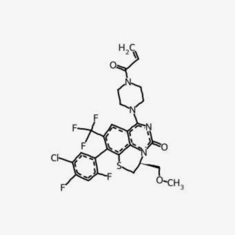 C=CC(=O)N1CCN(c2nc(=O)n3c4c(c(-c5cc(Cl)c(F)cc5F)c(C(F)(F)F)cc24)SC[C@@H]3COC)CC1